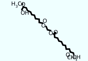 COC(CO)CCCCCCCCC(=O)OCCCOC(=O)CCCCCCCCC(CO)OC